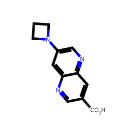 O=C(O)c1cnc2cc(N3CCC3)cnc2c1